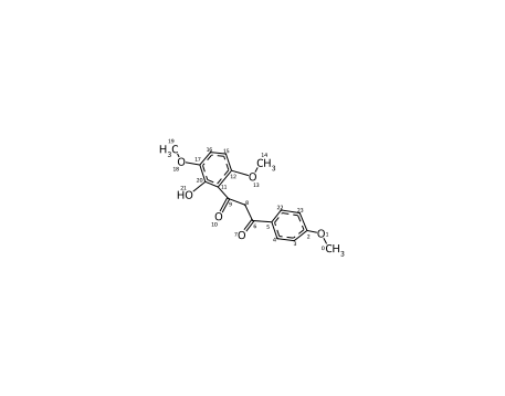 COc1ccc(C(=O)CC(=O)c2c(OC)ccc(OC)c2O)cc1